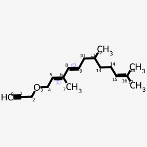 C#CCOC/C=C(C)/C=C/CC(C)CCC=C(C)C